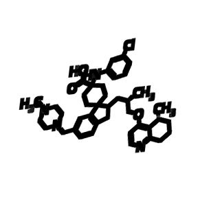 C[C@@H](COc1ccnc2c1[C@H](C)CCC2)CC1Cc2ccc(CN3CCN(C)CC3)cc2C12CCC(Nc1cccc(Cl)c1)(C(=O)O)CC2